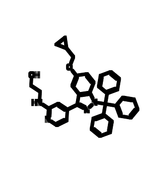 OCCNc1cc(-c2nn(C(c3ccccc3)(c3ccccc3)c3ccccc3)c3ccc(OCC4CC4)cc23)ccn1